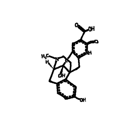 CN1CCC23Cc4[nH]c(=O)c(C(=O)O)cc4C[C@@]2(O)[C@H]1Cc1ccc(O)cc13